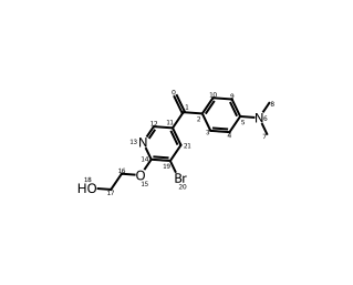 C=C(c1ccc(N(C)C)cc1)c1cnc(OCCO)c(Br)c1